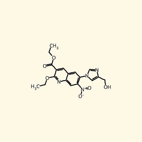 CCOC(=O)c1cc2cc(-n3cnc(CO)c3)c([N+](=O)[O-])cc2nc1OCC